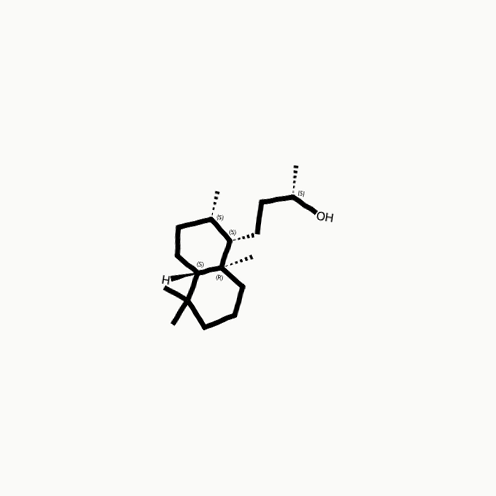 C[C@H](O)CC[C@H]1[C@@H](C)CC[C@H]2C(C)(C)CCC[C@]12C